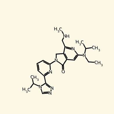 CCN(c1cc2c(c(CNC)n1)CN(c1cccc(-c3nncn3C(C)C)n1)C2=O)C(C)C